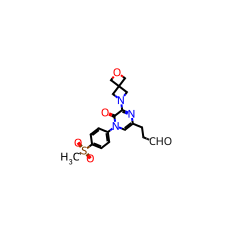 CS(=O)(=O)c1ccc(-n2cc(CCC=O)nc(N3CC4(COC4)C3)c2=O)cc1